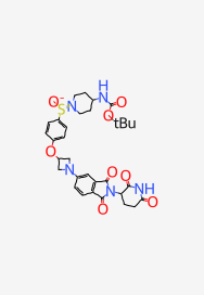 CC(C)(C)OC(=O)NC1CCN([S+]([O-])c2ccc(OC3CN(c4ccc5c(c4)C(=O)N(C4CCC(=O)NC4=O)C5=O)C3)cc2)CC1